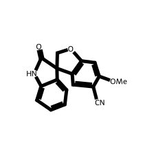 COc1cc2c(cc1C#N)C1(CO2)C(=O)Nc2ccccc21